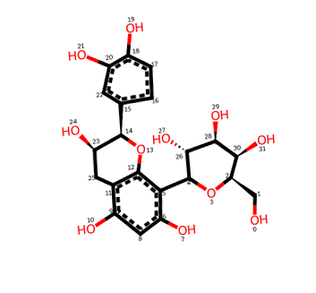 OC[C@H]1OC(c2c(O)cc(O)c3c2O[C@H](c2ccc(O)c(O)c2)[C@H](O)C3)[C@H](O)[C@@H](O)[C@H]1O